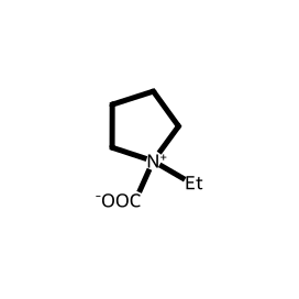 CC[N+]1(C(=O)[O-])CCCC1